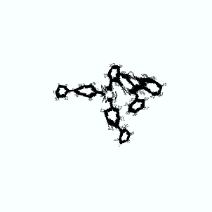 c1ccc(-c2ccc(-c3nc(-c4ccc(-c5ccccc5)cc4)nc(-c4cccc5c4nc(-c4ccccc4)c4c6ccccc6oc54)n3)cc2)cc1